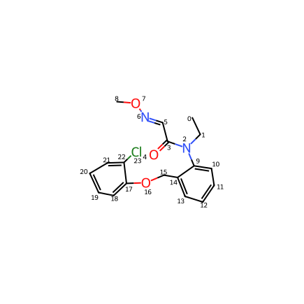 CCN(C(=O)C=NOC)c1ccccc1COc1ccccc1Cl